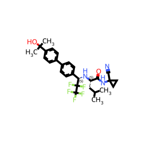 CC(C)C[C@H](N[C@@H](c1ccc(-c2ccc(C(C)(C)O)cc2)cc1)C(F)(F)C(F)(F)F)C(=O)NC1(C#N)CC1